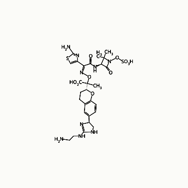 CC(O/N=C(\C(=O)N[C@@H]1C(=O)N(OS(=O)(=O)O)C1(C)C)c1csc(N)n1)(C(=O)O)[C@H]1CCc2cc(C3CNC(NCCN)=N3)ccc2O1